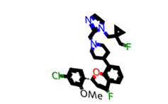 COc1cc(Cl)ccc1[C@H]1C=C(F)c2cccc(C3CCN(Cc4nccn4CC4(CF)CC4)CC3)c2O1